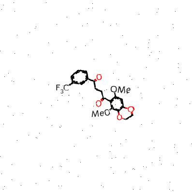 COc1cc2c(c(OC)c1C(=O)CCC(=O)c1cccc(C(F)(F)F)c1)OCCO2